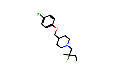 CCC(C)(F)CN1CCC(COc2ccc(Br)cc2)CC1